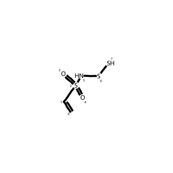 C=CS(=O)(=O)NSS